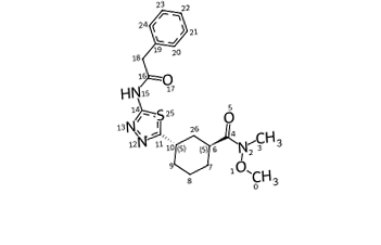 CON(C)C(=O)[C@H]1CCC[C@H](c2nnc(NC(=O)Cc3ccccc3)s2)C1